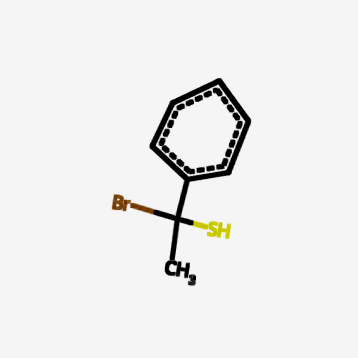 CC(S)(Br)c1ccccc1